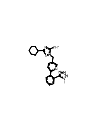 CCCc1nc(C2CCCCC2)nn1Cc1ccc(-c2ccccc2-c2nnn[nH]2)nc1